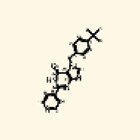 CC(C)(C)c1ccc(Cn2cnc3nc(-c4ccncc4)[nH]c(=O)c32)cc1